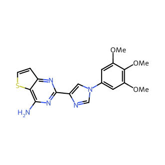 COc1cc(-n2cnc(-c3nc(N)c4sccc4n3)c2)cc(OC)c1OC